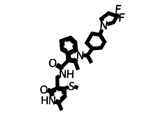 CSc1cc(C)[nH]c(=O)c1CNC(=O)c1c(C)n(C(C)C2CCC(N3CCC(F)(F)C3)CC2)c2ccccc12